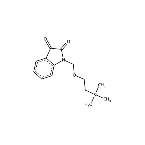 C[Si](C)(C)CCOCN1C(=O)C(=O)c2ccccc21